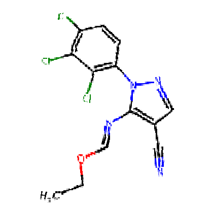 CCO/C=N/c1c(C#N)cnn1-c1ccc(Cl)c(Cl)c1Cl